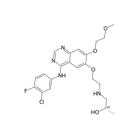 COCCOc1cc2ncnc(Nc3ccc(F)c(Cl)c3)c2cc1OCCNC[C@H](C)O